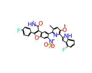 CNC(=O)c1c(-c2ccc(F)cc2)oc2cc(N(C)S(C)(=O)=O)c(-c3nc(-c4cc5c(F)cccc5[nH]4)c(OC)cc3C)cc12